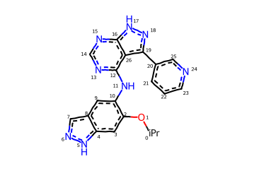 CC(C)Oc1cc2[nH]ncc2cc1Nc1ncnc2[nH]nc(-c3cccnc3)c12